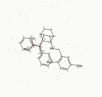 COc1ccc(OC)c(CNC2C3CCN(C(C(=O)N(C)C)C3)C2C(c2ccccc2)c2ccccc2)c1